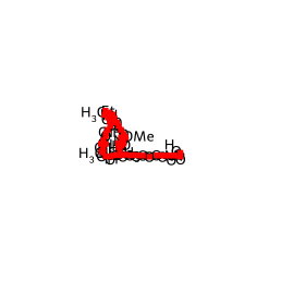 CC/C(C)=C\N1CC=Nc2cc(OCCCCCOc3cc4c(cc3OC)C(=O)N3C=C(C)C[C@H]3C=N4)c(OCCCNC(=O)OCc3ccc(NC(=O)[C@H](C)NC(=O)[C@@H](NC(=O)CCOCCOCCOCCOCCOCCOCCOCCOCCNC(=O)CCN4C(=O)C=CC4=O)C(C)C)cc3)cc2C1=O